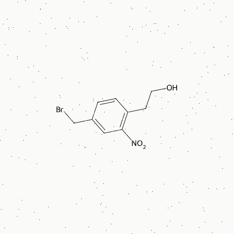 O=[N+]([O-])c1cc(CBr)ccc1CCO